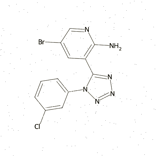 Nc1ncc(Br)cc1-c1nnnn1-c1cccc(Cl)c1